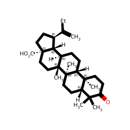 C=C(CC)[C@@H]1CC[C@]2(C(=O)O)CC[C@]3(C)[C@H](CC[C@@H]4[C@@]5(C)CCC(=O)C(C)(C)[C@@H]5CC[C@]43C)[C@@H]12